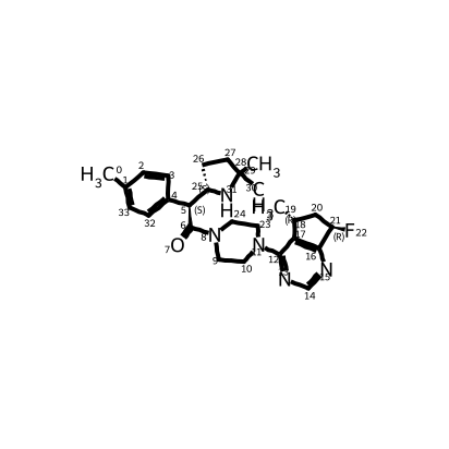 Cc1ccc([C@H](C(=O)N2CCN(c3ncnc4c3[C@H](C)C[C@H]4F)CC2)[C@@H]2CCC(C)(C)N2)cc1